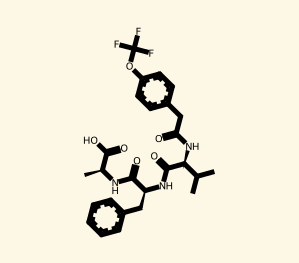 CC(C)[C@H](NC(=O)Cc1ccc(OC(F)(F)F)cc1)C(=O)N[C@@H](Cc1ccccc1)C(=O)N[C@@H](C)C(=O)O